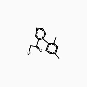 Cc1ccc(-c2ccccc2C(=O)CBr)c(C)c1